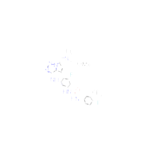 CCN(CCOC)Cc1cc(-c2cc(F)c(NC(=O)Nc3ccc(F)c(C(F)(F)F)c3)cc2F)c2c(N)ncnn12